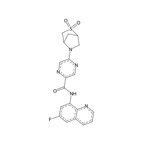 O=C(Nc1cc(F)cc2cccnc12)c1cnc(N2CC3CC2CS3(=O)=O)cn1